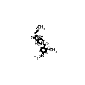 COc1ccc(C(=O)N2CCC3(CC2)NC(=O)[C@H](CCSC)N3)c(OC)c1